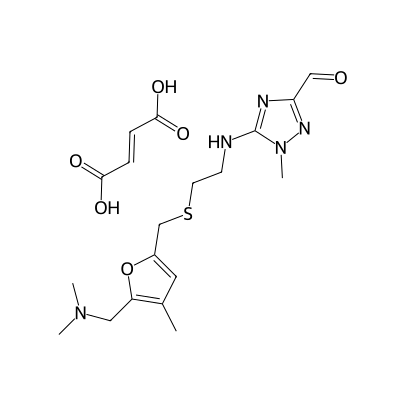 Cc1cc(CSCCNc2nc(C=O)nn2C)oc1CN(C)C.O=C(O)C=CC(=O)O